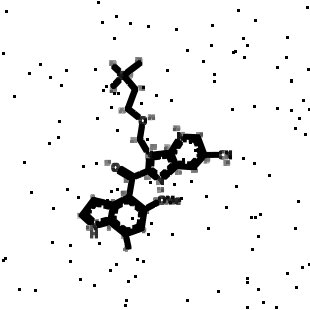 COc1cc(C)c2[nH]ccc2c1C(=O)c1nc2cc(C#N)cnc2n1COCC[Si](C)(C)C